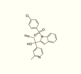 C#CCC(O)(c1ccnc(C)c1)c1cc2ccccc2n1S(=O)(=O)c1ccc(Cl)cc1